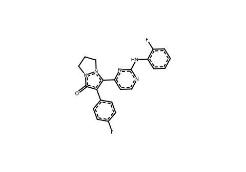 O=c1c(-c2ccc(F)cc2)c(-c2ccnc(Nc3ccccc3F)n2)n2n1CCC2